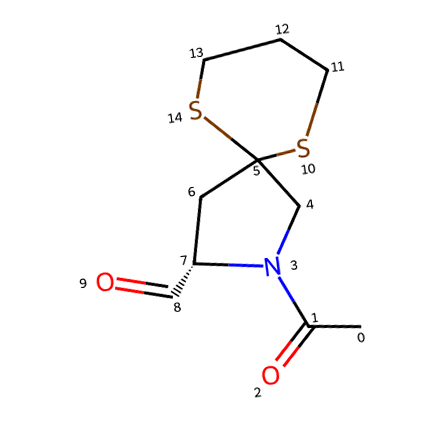 CC(=O)N1CC2(C[C@H]1C=O)SCCCS2